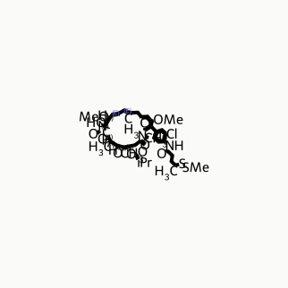 COc1cc2cc(c1-c1ccc(NC(=O)CCC(C)SSC)c(Cl)c1)N(C)C(=O)C[C@H](OC(=O)C(C)C)[C@]1(C)O[C@H]1[C@H](C)[C@@H]1C[C@@](O)(NC(=O)O1)[C@H](OC)/C=C/C=C(\C)C2